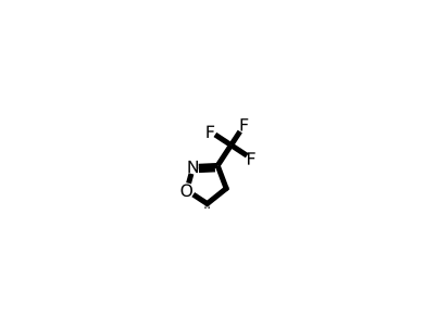 FC(F)(F)C1=NO[C]C1